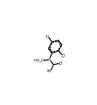 CC(C)C(Cl)N(C(=O)O)c1cc(Cl)ccc1Cl